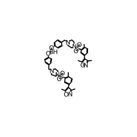 Cc1ccc(-c2c(C)noc2C)cc1S(=O)(=O)N1CCN(Cc2ccc(OBOc3ccc(CN4CCN(S(=O)(=O)c5cc(-c6c(C)noc6C)ccc5C)CC4)cc3)cc2)CC1